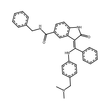 CN(C)Cc1ccc(NC(=C2C(=O)Nc3ccc(C(=O)NCc4ccccc4)cc32)c2ccccc2)cc1